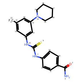 NC(=O)c1ccc(NC(=S)Nc2cc(N3CCCCC3)cc(C(F)(F)F)c2)cc1